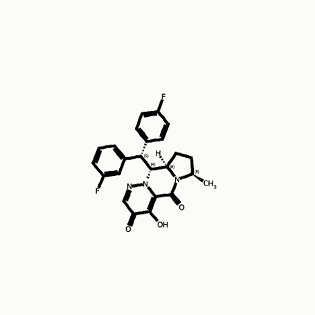 C[C@@H]1CC[C@@H]2[C@@H]([C@@H](c3ccc(F)cc3)c3cccc(F)c3)n3ncc(=O)c(O)c3C(=O)N12